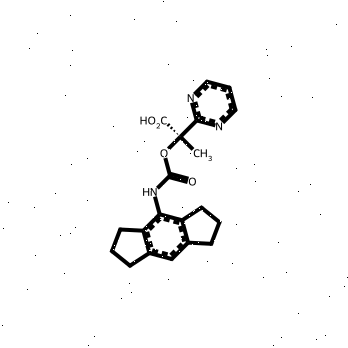 C[C@](OC(=O)Nc1c2c(cc3c1CCC3)CCC2)(C(=O)O)c1ncccn1